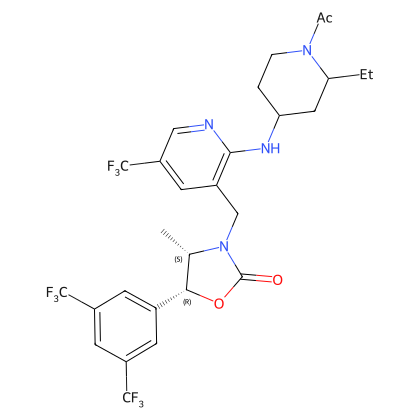 CCC1CC(Nc2ncc(C(F)(F)F)cc2CN2C(=O)O[C@H](c3cc(C(F)(F)F)cc(C(F)(F)F)c3)[C@@H]2C)CCN1C(C)=O